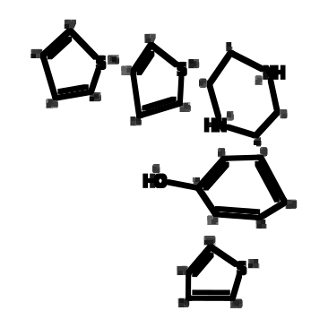 C1CNCCN1.Oc1ccccc1.c1ccsc1.c1ccsc1.c1ccsc1